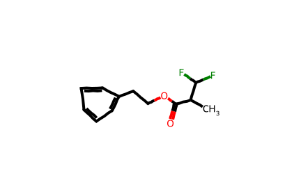 CC(C(=O)OCCc1ccccc1)C(F)F